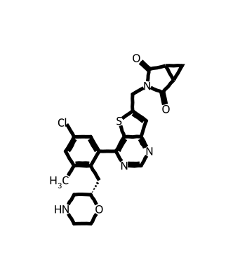 Cc1cc(Cl)cc(-c2ncnc3cc(CN4C(=O)C5CC5C4=O)sc23)c1C[C@H]1CNCCO1